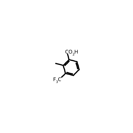 Cc1c(C(=O)O)cccc1C(F)(F)F